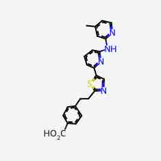 Cc1ccnc(Nc2cccc(-c3cnc(CCc4ccc(C(=O)O)cc4)s3)n2)c1